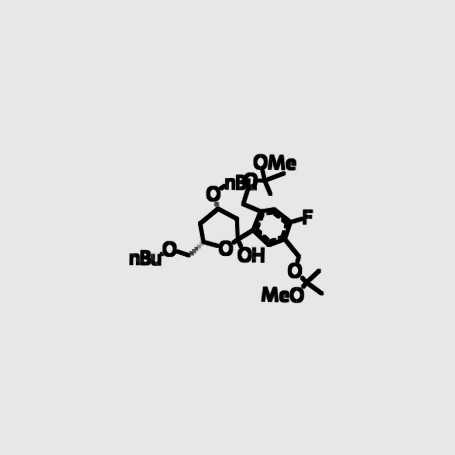 CCCCOC[C@@H]1C[C@H](OCCCC)CC(O)(c2cc(COC(C)(C)OC)c(F)cc2COC(C)(C)OC)O1